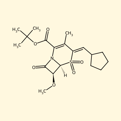 CO[C@H]1C(=O)N2C(C(=O)OC(C)(C)C)=C(C)/C(=C/C3CCCC3)S(=O)(=O)[C@@H]12